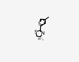 Cc1csc(C2=N[C@H](C)CS2)c1